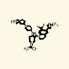 CC(=O)N1CCc2c(c(N3CCCc4cc(-c5cnn(C)c5)c(C(F)F)cc43)nn2C2CCN(C3CCC4(CNC4)C3)CC2)C1